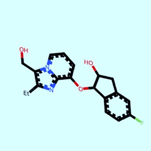 CCc1nc2c(OC3c4ccc(F)cc4CC3O)cccn2c1CO